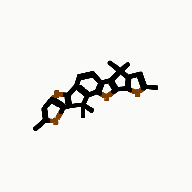 Cc1cc2c(s1)-c1sc3c4c(ccc3c1C2(C)C)-c1sc2cc(C)sc2c1C4(C)C